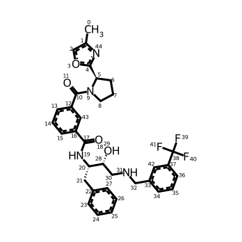 Cc1coc([C@H]2CCCN2C(=O)c2cccc(C(=O)N[C@@H](Cc3ccccc3)[C@H](O)CNCc3cccc(C(F)(F)F)c3)c2)n1